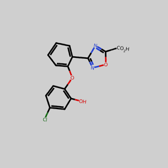 O=C(O)c1nc(-c2ccccc2Oc2ccc(Cl)cc2O)no1